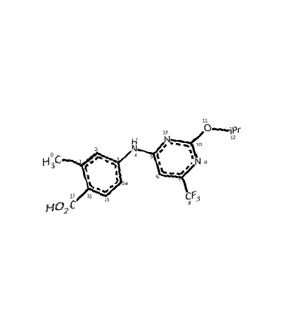 Cc1cc(Nc2cc(C(F)(F)F)nc(OC(C)C)n2)ccc1C(=O)O